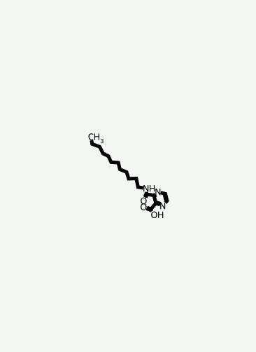 CCCCCCCCCCCCNC(=O)c1nccnc1C(=O)O